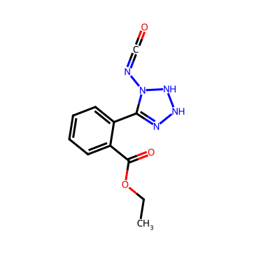 CCOC(=O)c1ccccc1C1=NNNN1N=C=O